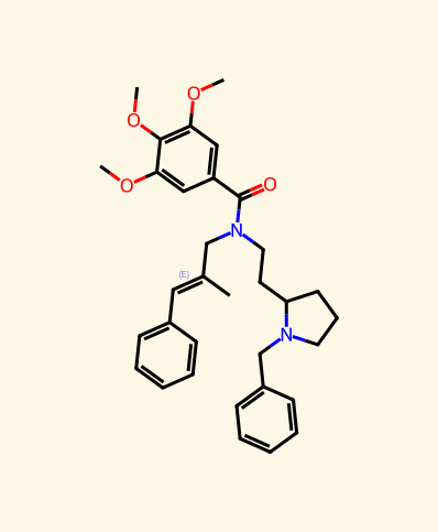 COc1cc(C(=O)N(CCC2CCCN2Cc2ccccc2)C/C(C)=C/c2ccccc2)cc(OC)c1OC